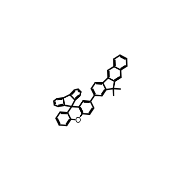 CC1(C)c2cc(-c3ccc4c(c3)C3(c5ccccc5O4)c4ccccc4-c4ccccc43)ccc2-c2cc3ccccc3cc21